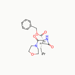 CC(C)C[C@H]1C(=O)N[C@]1(C(=O)OCc1ccccc1)C(=O)N1CCOCC1